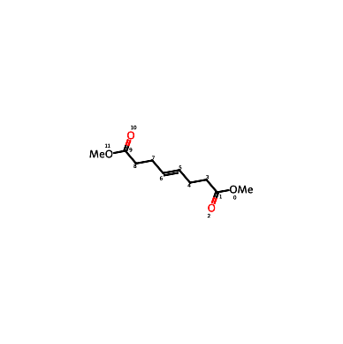 COC(=O)CCC=CCCC(=O)OC